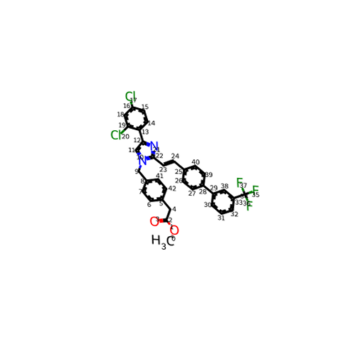 COC(=O)Cc1ccc(Cn2cc(-c3ccc(Cl)cc3Cl)nc2C=Cc2ccc(-c3cccc(C(F)(F)F)c3)cc2)cc1